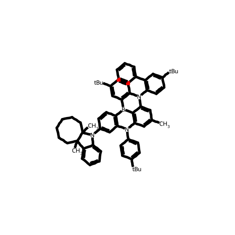 Cc1cc2c3c(c1)N(c1ccc(C(C)(C)C)cc1-c1ccccc1)c1ccc(C(C)(C)C)cc1B3c1ccc(N3c4ccccc4C4(C)CCCCCCC34C)cc1N2c1ccc(C(C)(C)C)cc1